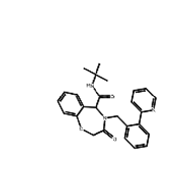 CC(C)(C)NC(=O)C1c2ccccc2OCC(=O)N1Cc1ccccc1-c1ccccn1